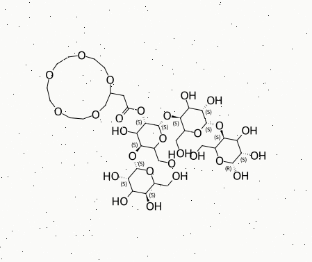 O=C(CC1COCCOCCOCCOCCO1)O[C@H]1C(O)[C@H](O[C@@H]2OC(CO)[C@@H](O)C(O)[C@@H]2O)C(CO)O[C@H]1O[C@@H]1C(CO)O[C@@H](O[C@@H]2C(CO)O[C@@H](O)[C@@H](O)C2O)[C@@H](O)C1O